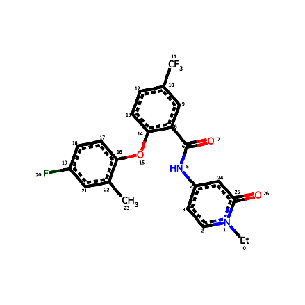 CCn1ccc(NC(=O)c2cc(C(F)(F)F)ccc2Oc2ccc(F)cc2C)cc1=O